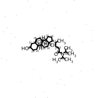 CC(CCC(=O)N(C(C)C)C(C)C)[C@H]1CC[C@H]2[C@@H]3CC=C4C[C@@H](O)CC[C@]4(C)[C@H]3CC[C@]12C